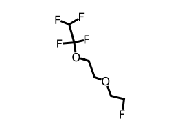 FCCOCCOC(F)(F)C(F)F